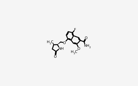 COc1cc2c(OC[C@H]3NC(=O)C[C@H]3C)ccc(F)c2cc1C(N)=O